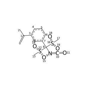 C=C(C)c1cccc(C(N=C=O)(S(C)(=O)=O)S(C)(=O)=O)c1